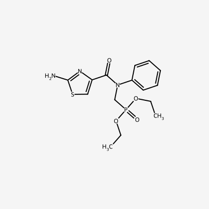 CCOP(=O)(CN(C(=O)c1csc(N)n1)c1ccccc1)OCC